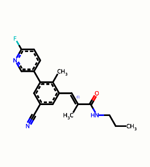 CCCNC(=O)/C(C)=C/c1cc(C#N)cc(-c2ccc(F)nc2)c1C